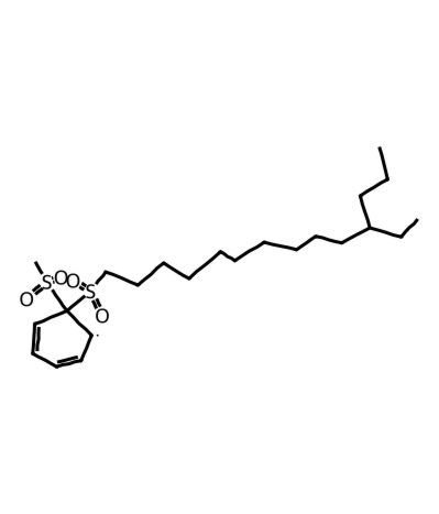 CCCC(CC)CCCCCCCCCCS(=O)(=O)C1(S(C)(=O)=O)[CH]C=CC=C1